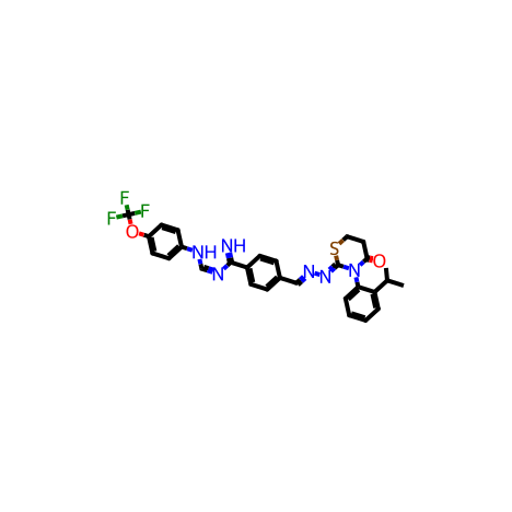 CC(C)c1ccccc1N1C(=O)CCS/C1=N\N=C\c1ccc(C(=N)/N=C\Nc2ccc(OC(F)(F)F)cc2)cc1